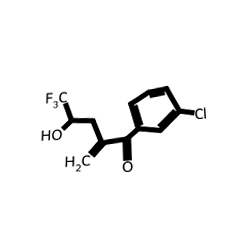 C=C(CC(O)C(F)(F)F)C(=O)c1cccc(Cl)c1